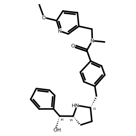 COc1ccc(CN(C)C(=O)c2ccc(C[C@@H]3CC[C@H]([C@H](O)c4ccccc4)N3)cc2)cn1